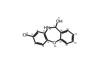 OC1Nc2cc(Cl)ccc2Oc2ccccc21